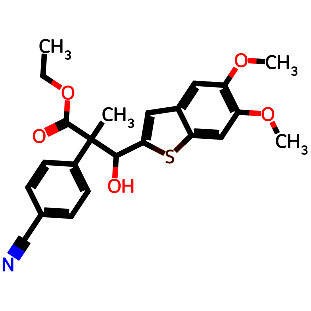 CCOC(=O)C(C)(c1ccc(C#N)cc1)C(O)c1cc2cc(OC)c(OC)cc2s1